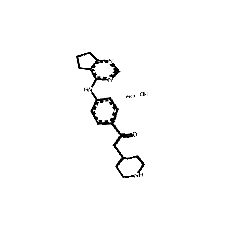 Cl.Cl.O=C(CC1CCNCC1)c1ccc(Nc2ncnc3c2CCC3)cc1